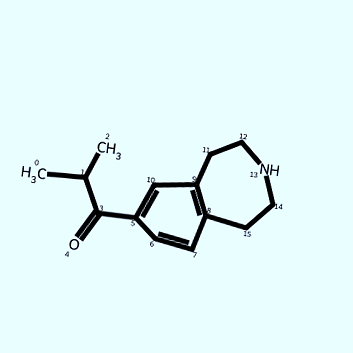 CC(C)C(=O)c1ccc2c(c1)CCNCC2